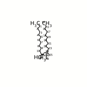 CCCCCCCCCCCC(=O)O.CCCCCCCCCCCCC